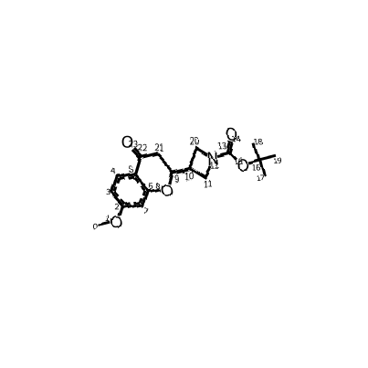 COc1ccc2c(c1)OC(C1CN(C(=O)OC(C)(C)C)C1)CC2=O